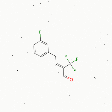 O=C/C(=C/Cc1cccc(F)c1)C(F)(F)F